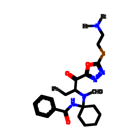 CCN(CC)CCSc1nnc(C(=O)C(CC(C)C)N(C=O)C2(NC(=O)c3ccccc3)CCCCC2)o1